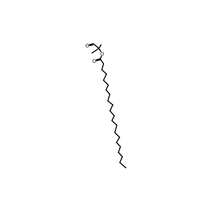 CCCCCCCCCCCCCCCCCCCCCC(=O)OC(C)(C)C=O